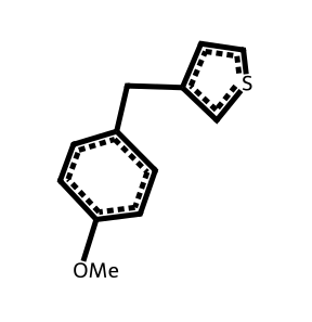 COc1ccc(Cc2ccsc2)cc1